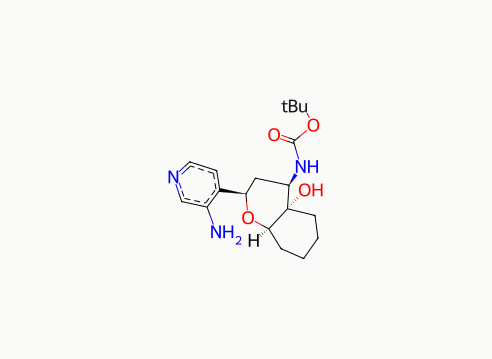 CC(C)(C)OC(=O)N[C@@H]1C[C@H](c2ccncc2N)O[C@@H]2CCCC[C@]12O